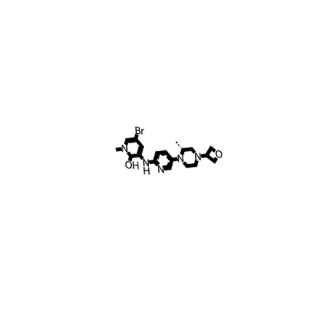 C[C@@H]1CN(C2COC2)CCN1c1ccc(NC2=CC(Br)=CN(C)C2O)nc1